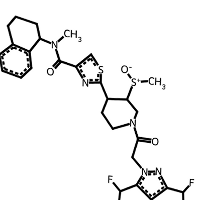 CN(C(=O)c1csc(C2CCN(C(=O)Cn3nc(C(F)F)cc3C(F)F)CC2[S+](C)[O-])n1)C1CCCc2ccccc21